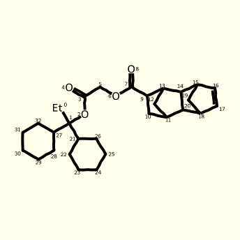 CCC(OC(=O)COC(=O)C1CC2CC1C1C3C=CC(C3)C21)(C1CCCCC1)C1CCCCC1